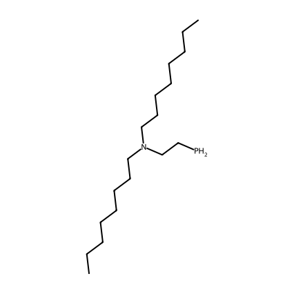 CCCCCCCCN(CCP)CCCCCCCC